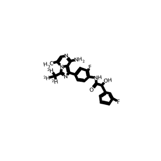 [2H]C([2H])([2H])c1nc(-c2ccc(NC(=O)C(O)c3cccc(F)c3)c(F)c2)c2c(N)ncc(C)n12